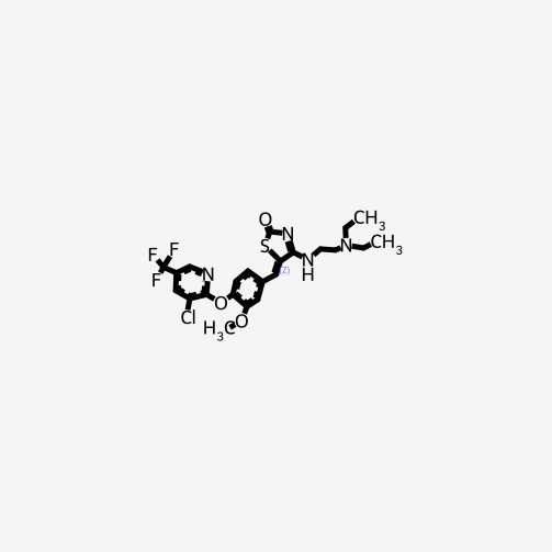 CCN(CC)CCNC1=NC(=O)S/C1=C\c1ccc(Oc2ncc(C(F)(F)F)cc2Cl)c(OC)c1